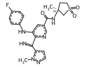 Cn1nccc1C(=N)c1ncc(C(=O)N[C@@]2(C)CCS(=O)(=O)C2)cc1Nc1ccc(F)cc1